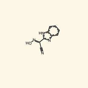 N#C/C(=N\O)c1nc2ccccc2[nH]1